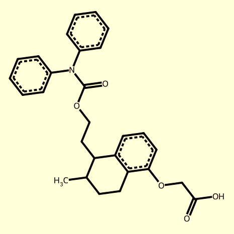 CC1CCc2c(OCC(=O)O)cccc2C1CCOC(=O)N(c1ccccc1)c1ccccc1